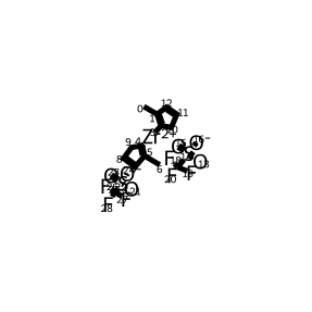 CC1=[C]([Zr+2][C]2=C(C)C=CC2)CC=C1.O=S(=O)([O-])C(F)(F)F.O=S(=O)([O-])C(F)(F)F